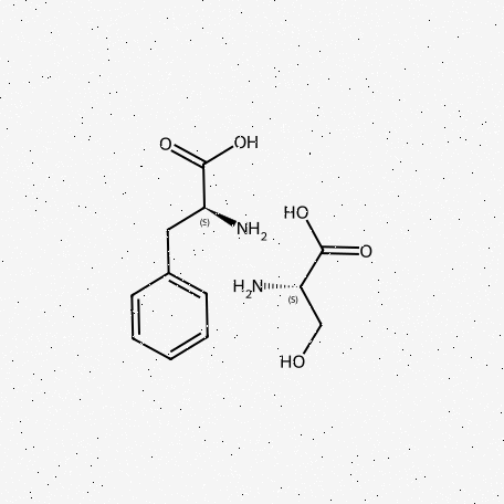 N[C@@H](CO)C(=O)O.N[C@@H](Cc1ccccc1)C(=O)O